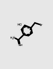 Cl.N=C(N)c1ccc(CBr)cc1